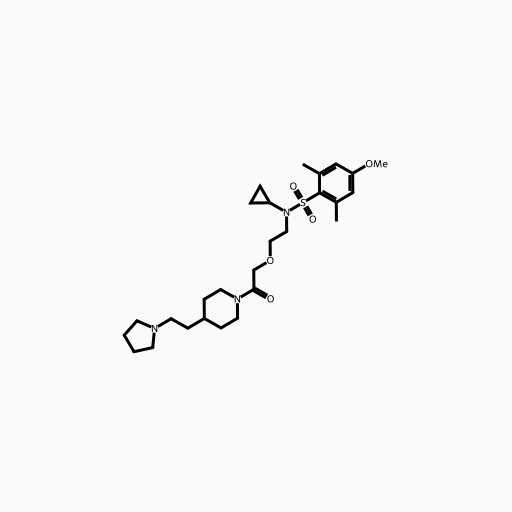 COc1cc(C)c(S(=O)(=O)N(CCOCC(=O)N2CCC(CCN3CCCC3)CC2)C2CC2)c(C)c1